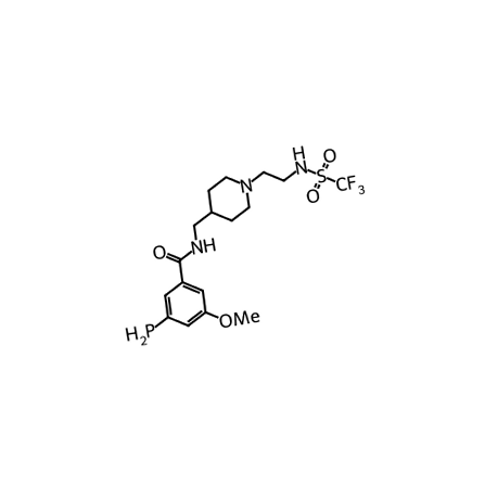 COc1cc(P)cc(C(=O)NCC2CCN(CCNS(=O)(=O)C(F)(F)F)CC2)c1